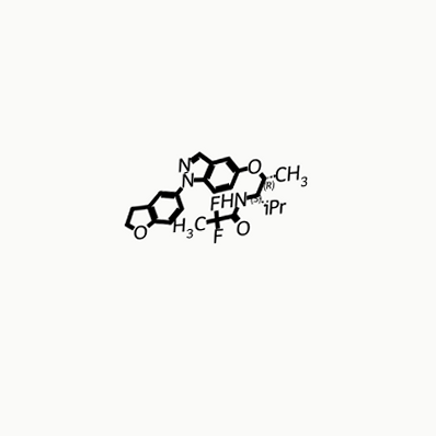 CC(C)[C@H](NC(=O)C(C)(F)F)[C@@H](C)Oc1ccc2c(cnn2-c2ccc3c(c2)CCO3)c1